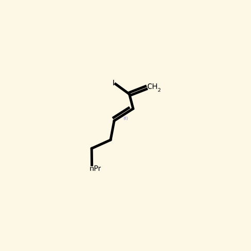 C=C(I)/C=C/CCCCC